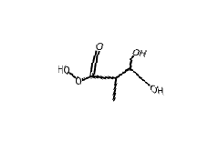 CC(C(=O)OO)C(O)O